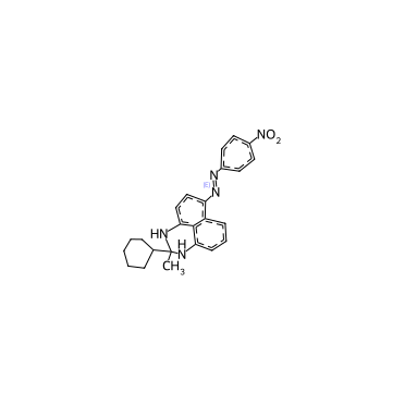 CC1(C2CCCCC2)Nc2cccc3c(/N=N/c4ccc([N+](=O)[O-])cc4)ccc(c23)N1